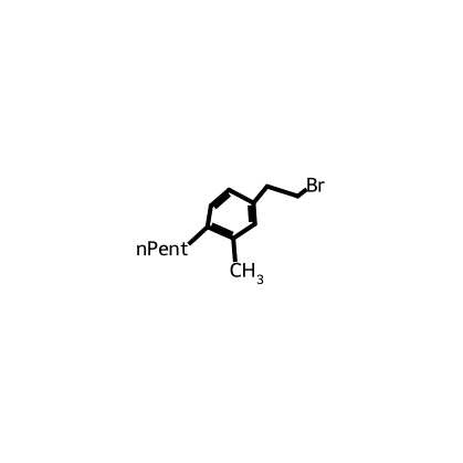 CCCCCc1ccc(CCBr)cc1C